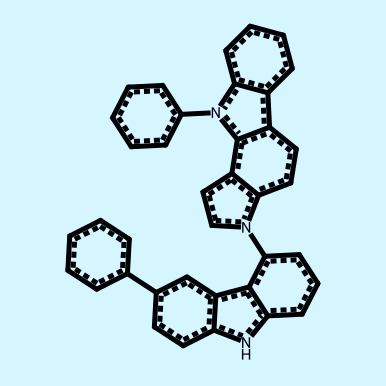 c1ccc(-c2ccc3[nH]c4cccc(-n5ccc6c5ccc5c7ccccc7n(-c7ccccc7)c56)c4c3c2)cc1